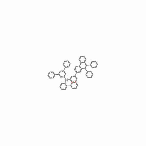 c1ccc(-c2cc(-c3ccccc3)cc(N(c3cccc(-c4ccc5c(c4)c(-c4ccccc4)c(-c4ccccc4)c4ccccc45)c3)c3ccccc3-c3ccccc3)c2)cc1